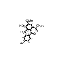 COc1cc(C(=O)OC(C)C)c(C(=O)c2ccc(C(C)=O)cc2)c([N+](=O)[O-])c1O